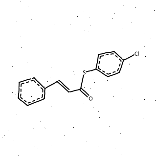 O=C(C=Cc1ccccc1)Sc1ccc(Cl)cc1